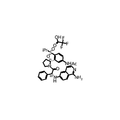 CC(=O)Nc1ccc(S(=O)(=O)C(C)C)c([C@H]2CCCN2C(=O)[C@H](Nc2ccc3c(N)nccc3c2)c2ccccc2)c1.O=C(O)C(F)(F)F